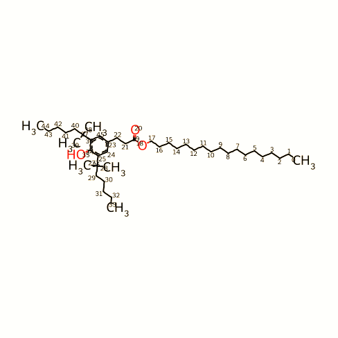 CCCCCCCCCCCCCCCCCCOC(=O)CCc1cc(C(C)(C)CCCCC)c(O)c(C(C)(C)CCCCC)c1